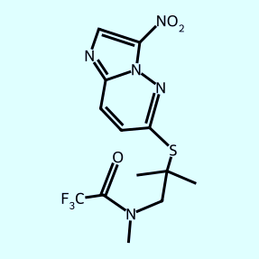 CN(CC(C)(C)Sc1ccc2ncc([N+](=O)[O-])n2n1)C(=O)C(F)(F)F